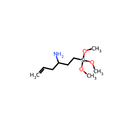 C=CCC(N)CC[Si](OC)(OC)OC